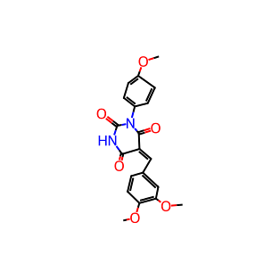 COc1ccc(N2C(=O)NC(=O)/C(=C\c3ccc(OC)c(OC)c3)C2=O)cc1